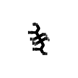 CC(C)(C)CC(O)C(C)(C)C(C)(C)CC(O)C(C)(C)C